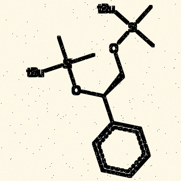 CC(C)(C)[Si](C)(C)OC[C@H](O[Si](C)(C)C(C)(C)C)c1ccccc1